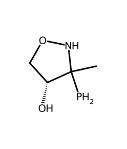 CC1(P)NOC[C@H]1O